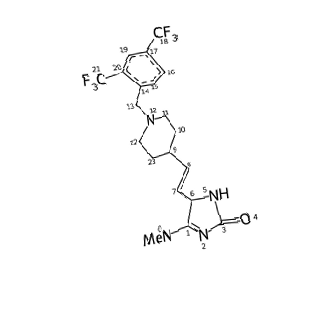 CNC1=NC(=O)NC1C=CC1CCN(Cc2ccc(C(F)(F)F)cc2C(F)(F)F)CC1